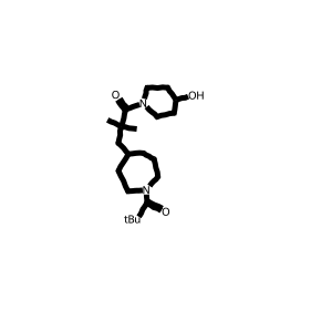 CC(C)(C)C(=O)N1CCCC(CC(C)(C)C(=O)N2CCC(O)CC2)CC1